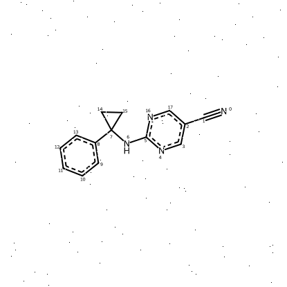 N#Cc1cnc(NC2(c3ccccc3)CC2)nc1